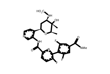 CNC(=O)c1cc(F)c(-c2nc(C(=O)Nc3cnccc3[C@H]3C[C@@H](NC(=O)O)[C@](C)(O)[C@@H](C)O3)ccc2F)c(F)c1